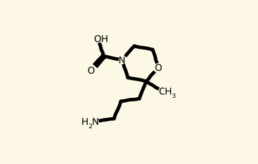 CC1(CCCN)CN(C(=O)O)CCO1